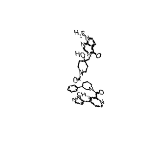 Cn1nccc1-c1ccnc(C(=O)N2CC[C@@H](C(=O)N3CCC(O)(Cn4cnc5c(ccn5C)c4=O)CC3)[C@H](c3ccccc3)C2)c1